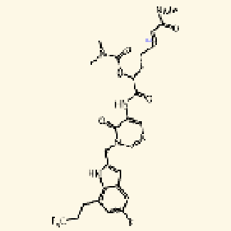 CNC(=O)/C=C/CCC(OC(=O)N(C)C)C(=O)Nc1cncn(Cc2cc3cc(F)cc(CCC(F)(F)F)c3[nH]2)c1=O